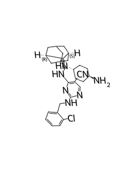 N#Cc1cnc(NCc2ccccc2Cl)nc1NC[C@]12CC3C[C@H](C1)C(N[C@H]1CC[C@H](N)CC1)[C@@H](C3)C2